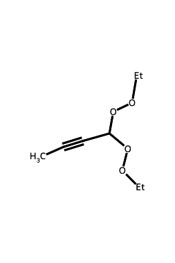 CC#CC(OOCC)OOCC